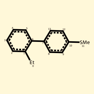 CCc1ccccc1-c1ccc(SC)cc1